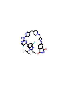 Cc1nc2c(F)cc(-c3nc(Nc4ccc(CC5CCN(CC6CN(c7ccc8c(c7)C(=O)NC8=O)C6)CC5)cn4)ncc3F)cc2n1C(C)C